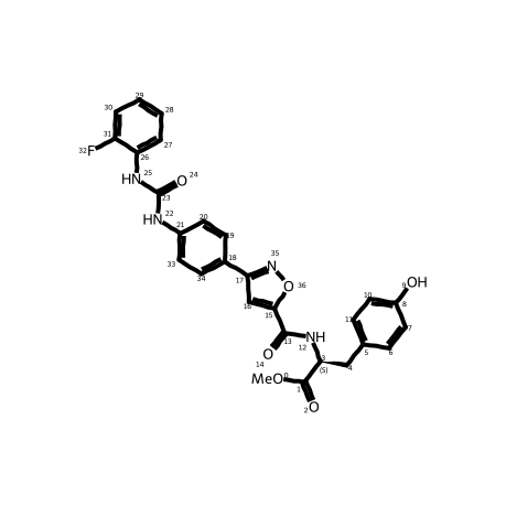 COC(=O)[C@H](Cc1ccc(O)cc1)NC(=O)c1cc(-c2ccc(NC(=O)Nc3ccccc3F)cc2)no1